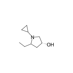 CCC1C[C@@H](O)CN1C1CC1